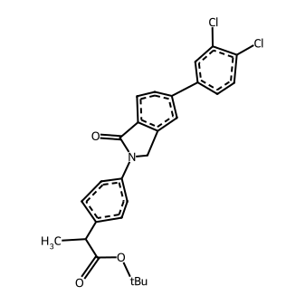 CC(C(=O)OC(C)(C)C)c1ccc(N2Cc3cc(-c4ccc(Cl)c(Cl)c4)ccc3C2=O)cc1